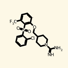 N=C(N)N1CCC(COc2[c]ccc(C(F)(F)F)c2S(=O)(=O)c2ccccc2Cl)CC1